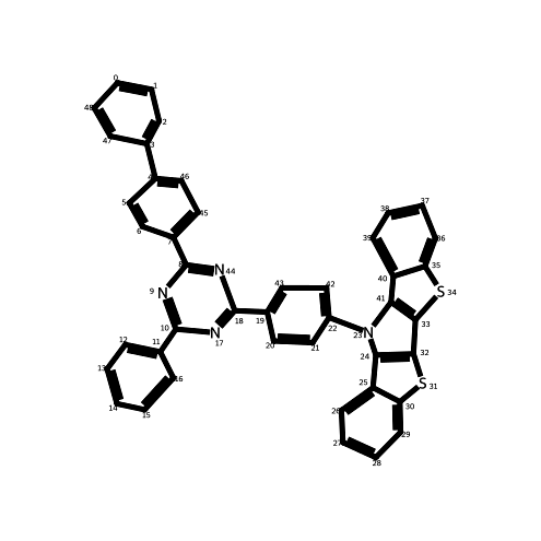 c1ccc(-c2ccc(-c3nc(-c4ccccc4)nc(-c4ccc(-n5c6c7ccccc7sc6c6sc7ccccc7c65)cc4)n3)cc2)cc1